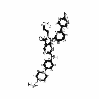 C=CCn1c(=O)c2cnc(Nc3ccc(N4CCN(C)CC4)cc3)nc2n1-c1cccc(-c2cnc(F)nc2)n1